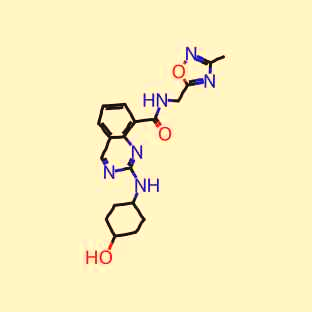 Cc1noc(CNC(=O)c2cccc3cnc(NC4CCC(O)CC4)nc23)n1